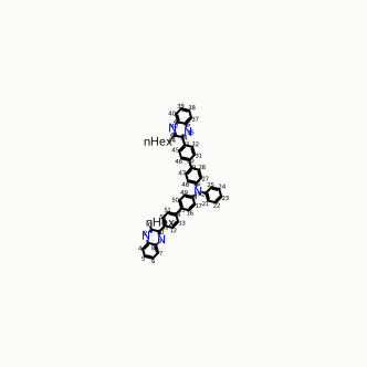 CCCCCCc1nc2ccccc2nc1-c1ccc(-c2ccc(N(c3ccccc3)c3ccc(-c4ccc(-c5nc6ccccc6nc5CCCCCC)cc4)cc3)cc2)cc1